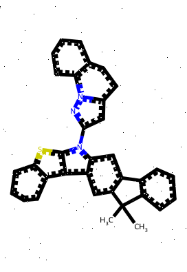 CC1(C)c2ccccc2-c2cc3c(cc21)c1c2ccccc2sc1n3-c1cc2ccc3ccccc3n2n1